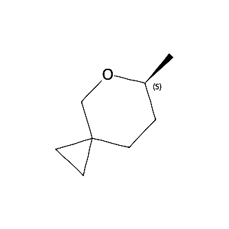 C[C@H]1CCC2(CC2)CO1